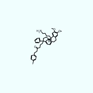 COc1cc2c(cc1OC)C(CCCCN)(CCCC(CCCC(=O)CCc1ccc(F)cc1)(c1ccccc1)c1ccccc1)NCC2